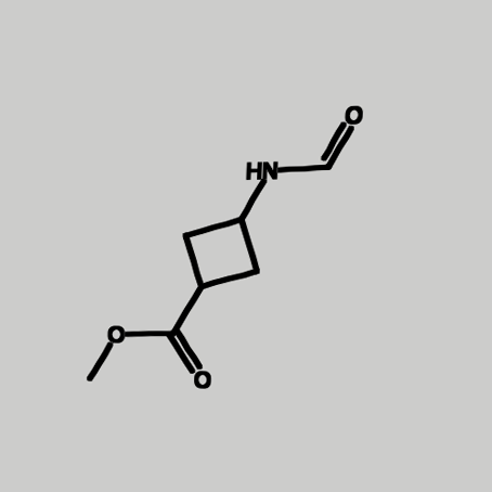 COC(=O)C1CC(NC=O)C1